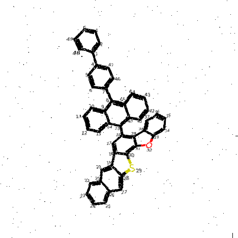 c1ccc(-c2ccc(-c3c4ccccc4c(-c4cc5c6cc7ccccc7cc6sc5c5oc6ccccc6c45)c4ccccc34)cc2)cc1